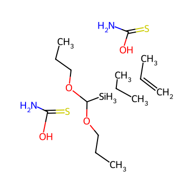 C=CC.CCC.CCCOC([SiH3])OCCC.NC(O)=S.NC(O)=S